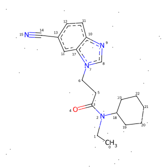 CCN(C(=O)CCn1cnc2ccc(C#N)cc21)C1CCCCC1